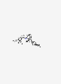 CC(C)N/C(=C\C(=N)c1cnc(N)c(C(F)(F)F)c1)[C@H]1[C@@H]2C[C@H](N3CCN(C)CC3)C[C@@H]21